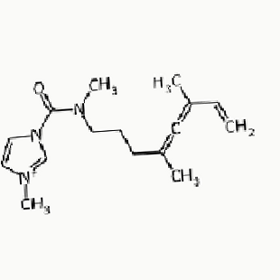 C=CC(C)=C=C(C)CCCN(C)C(=O)n1cc[n+](C)c1